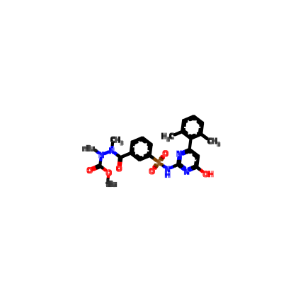 CCCCN(C(=O)OC(C)(C)C)N(C)C(=O)c1cccc(S(=O)(=O)Nc2nc(O)cc(-c3c(C)cccc3C)n2)c1